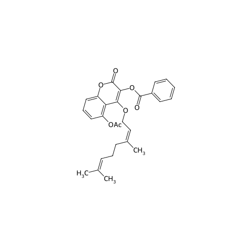 CC(=O)Oc1cccc2oc(=O)c(OC(=O)c3ccccc3)c(OCC=C(C)CCC=C(C)C)c12